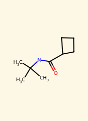 CC(C)(C)[N]C(=O)C1CCC1